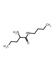 CCCCNC(=O)C(N)CCC